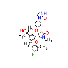 Cc1cc(F)cc(C)c1Oc1ccc(C(C)(C)O)cc1-c1cn(C)c(=O)cc1OC1CCC(N2CCNC2=O)CC1